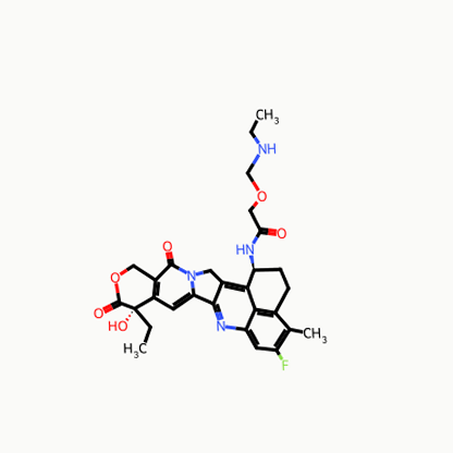 CCNCOCC(=O)N[C@H]1CCc2c(C)c(F)cc3nc4c(c1c23)Cn1c-4cc2c(c1=O)COC(=O)[C@]2(O)CC